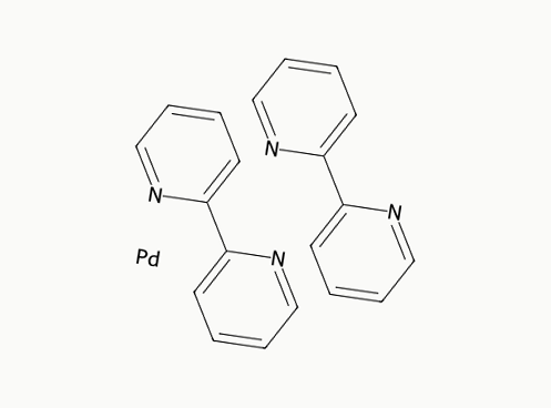 [Pd].c1ccc(-c2ccccn2)nc1.c1ccc(-c2ccccn2)nc1